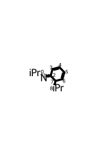 CC(C)/N=C1\C=CC=CC1C(C)C